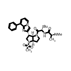 CN[C@@H](C)C(=O)N[C@H](C(=O)N1CC[C@@H]2[C@H]1[C@@H](c1cn3cccc(-c4ccccc4)c3n1)CN2S(C)(=O)=O)C(C)(C)C